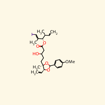 C=C[C@@H]1OC(c2ccc(OC)cc2)O[C@]1(C)CCC(O)CC(=O)O[C@H](/C(C)=C/I)[C@@H](C)C=C